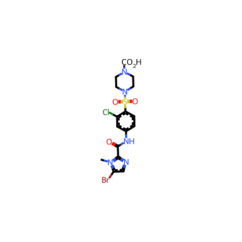 Cn1c(Br)cnc1C(=O)Nc1ccc(S(=O)(=O)N2CCN(C(=O)O)CC2)c(Cl)c1